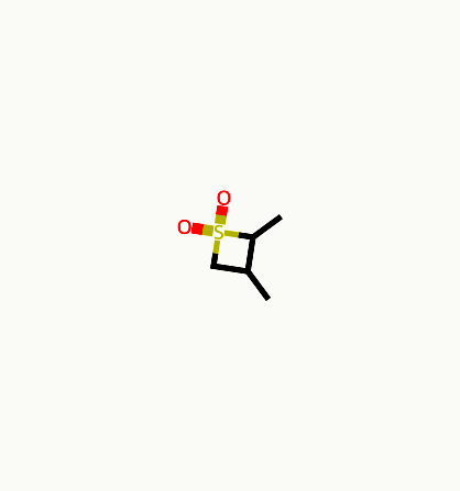 CC1CS(=O)(=O)C1C